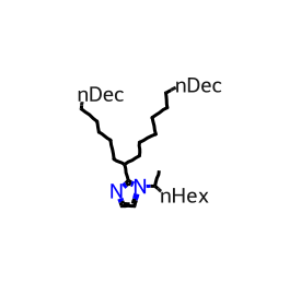 CCCCCCCCCCCCCCCCC(CCCCCCCCCCCCCCC)c1nccn1C(C)CCCCCC